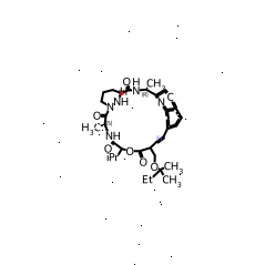 CCC(C)(C)OCC1/C=C/c2ccc3ccc(nc3c2)[C@@H](C)NC(=O)[C@@H]2CCCN(N2)C(=O)[C@H](C)NC(=O)C(C(C)C)OC1=O